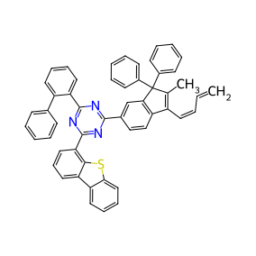 C=C/C=C\C1=C(C)C(c2ccccc2)(c2ccccc2)c2cc(-c3nc(-c4ccccc4-c4ccccc4)nc(-c4cccc5c4sc4ccccc45)n3)ccc21